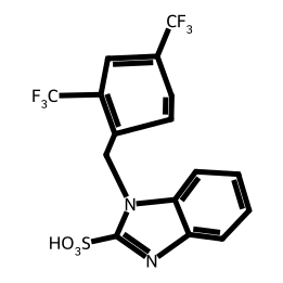 O=S(=O)(O)c1nc2ccccc2n1Cc1ccc(C(F)(F)F)cc1C(F)(F)F